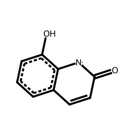 O=C1C=Cc2cccc(O)c2[N]1